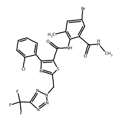 CNC(=O)c1cc(Br)cc(C)c1NC(=O)c1sc(Cn2nnc(C(F)(F)F)n2)nc1-c1ccccc1Cl